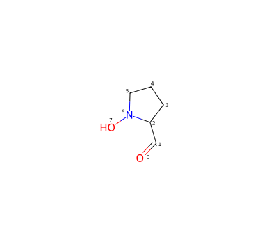 O=[C]C1CCCN1O